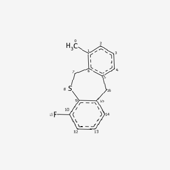 Cc1cccc2c1CSc1c(F)cccc1C2